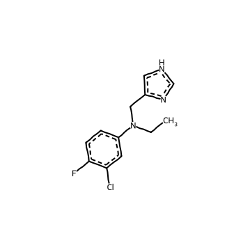 CCN(Cc1c[nH]cn1)c1ccc(F)c(Cl)c1